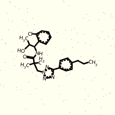 CCCc1ccc(-c2nnn(CC(C)(C)C(=O)NC(c3ccccc3Cl)C(C)O)n2)cc1